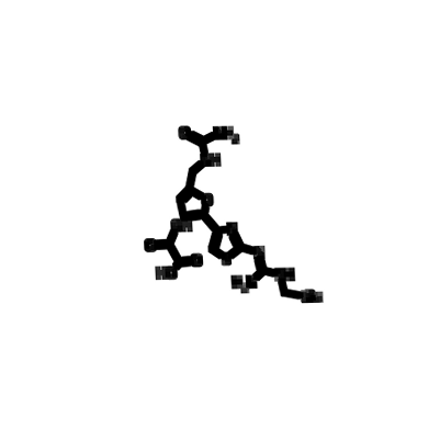 CC(C)(C)CN/C(N)=N/c1nc(-c2ccc(CNC(N)=O)o2)cs1.O=C(O)C(=O)O